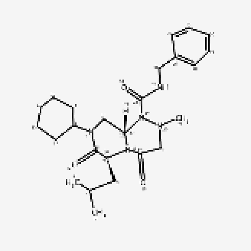 CC(C)C[C@H]1C(=O)N(C2CCCCC2)C[C@H]2N1C(=O)CN(C)N2C(=O)NCc1ccccc1